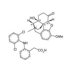 COc1ccc2c3c1O[C@H]1C(=O)CC[C@@]4(O)[C@@H](C2)N(C)CC[C@]314.O=C(O)Cc1ccccc1Nc1c(Cl)cccc1Cl